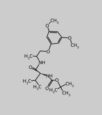 COc1cc(OC)cc(OCC(C)NC(=O)[C@@H](NC(=O)OC(C)(C)C)C(C)C)c1